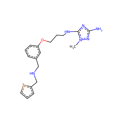 Cn1nc(N)nc1NCCCOc1cccc(CNCc2cccs2)c1